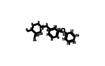 CC1CCN(Cc2cccc(Oc3ccccc3)c2)CC1C